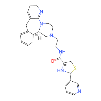 O=C(NCCN1CCN2c3ncccc3Cc3ccccc3[C@@H]2C1)[C@@H]1CSC(c2cccnc2)N1